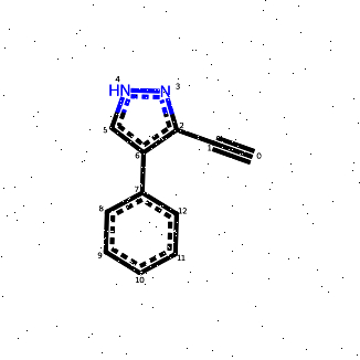 C#Cc1n[nH]cc1-c1ccccc1